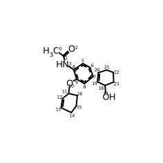 CC(=O)Nc1ccccc1OC1C=CCCC1.OC1C=CCCC1